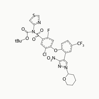 CC(C)(C)OC(=O)N(c1cscn1)S(=O)(=O)c1cc(Cl)c(Oc2ccc(C(F)(F)F)cc2-c2cn(C3CCCCO3)nc2[N+](=O)[O-])cc1F